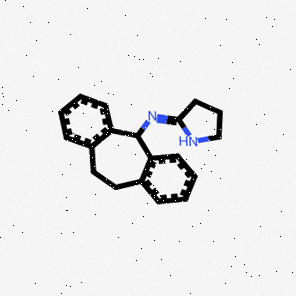 c1ccc2c(c1)CCc1ccccc1C2N=C1CCCN1